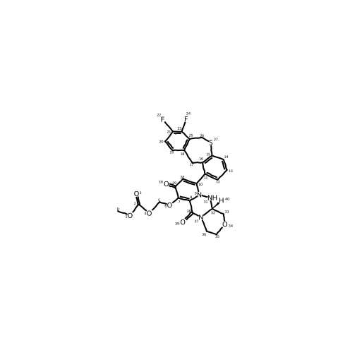 COC(=O)OCOc1c2n(c(-c3cccc4c3Cc3ccc(F)c(F)c3CS4)cc1=O)N[C@@H]1COCCN1C2=O